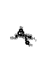 CC(C)c1ccc(CNC(=O)[C@H](CCC(N)=O)NC(=O)[C@@H]2Cc3cc(Br)cc4c3N2C(=O)[C@@H](NC(=O)OC(C)(C)C)CC4)cc1